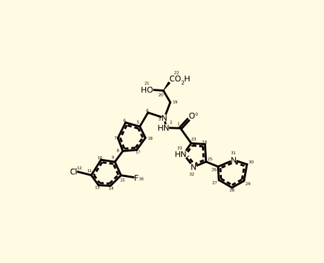 O=C(NN(Cc1ccc(-c2cc(Cl)ccc2F)cc1)C[C@@H](O)C(=O)O)c1cc(-c2ccccn2)n[nH]1